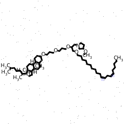 CCCCC/C=C\C/C=C\CCCCCCCCCCOCC(CN1CCC(OC)C1)OCCCOCCCO[C@H]1CC[C@@]2(C)C(=CC[C@H]3[C@@H]4CC[C@H]([C@H](C)CCCC(C)C)[C@@]4(C)CC[C@@H]32)C1